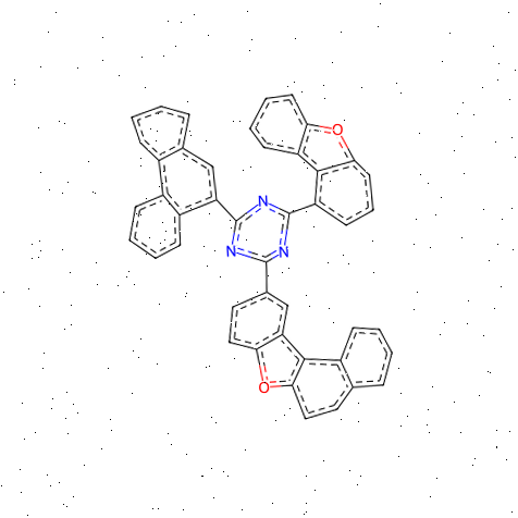 c1ccc2c(c1)cc(-c1nc(-c3ccc4oc5ccc6ccccc6c5c4c3)nc(-c3cccc4oc5ccccc5c34)n1)c1ccccc12